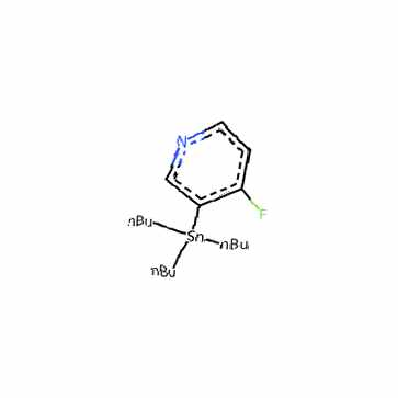 CCC[CH2][Sn]([CH2]CCC)([CH2]CCC)[c]1cnccc1F